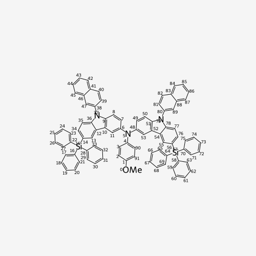 COc1ccc(N(c2ccc3c(c2)c2cc([Si](c4ccccc4)(c4ccccc4)c4ccccc4)ccc2n3-c2ccc3ccccc3c2)c2ccc3c(c2)c2cc([Si](c4ccccc4)(c4ccccc4)c4ccccc4)ccc2n3-c2ccc3ccccc3c2)cc1